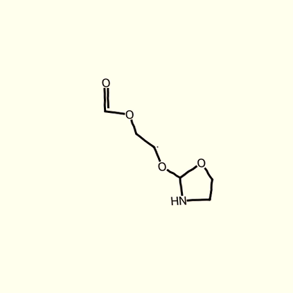 O=COC[CH]OC1NCCO1